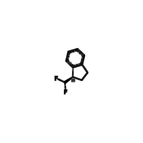 FC(F)[C@@H]1CCc2ccccc21